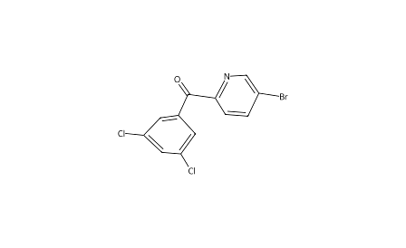 O=C(c1cc(Cl)cc(Cl)c1)c1ccc(Br)cn1